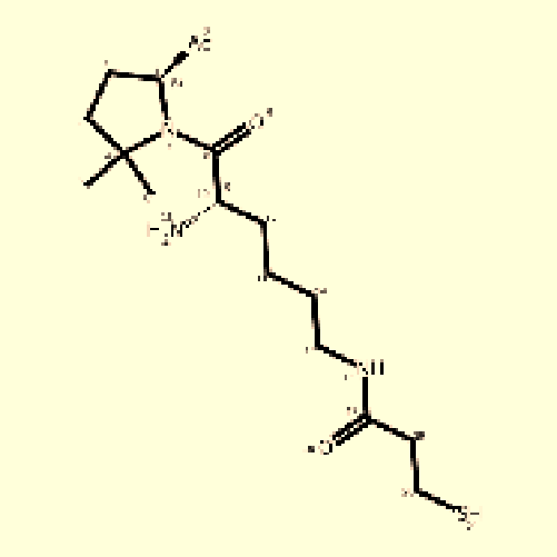 CC(=O)[C@@H]1CCC(C)(C)N1C(=O)[C@@H](N)CCCCNC(=O)CCS